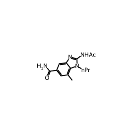 CCCn1c(NC(C)=O)nc2cc(C(N)=O)cc(C)c21